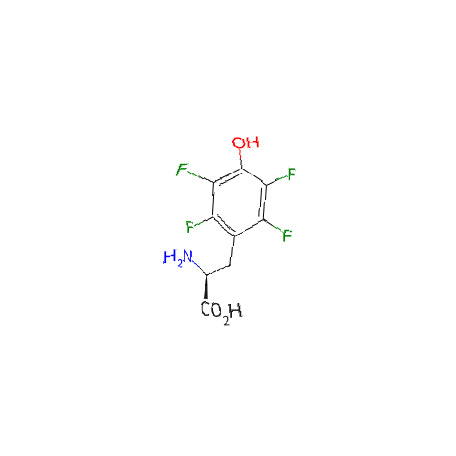 N[C@@H](Cc1c(F)c(F)c(O)c(F)c1F)C(=O)O